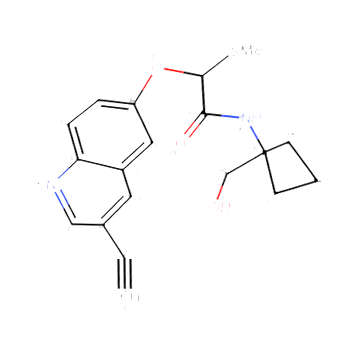 C#Cc1cnc2ccc(OC(SC)C(=O)NC3(CO)CCC3)cc2c1